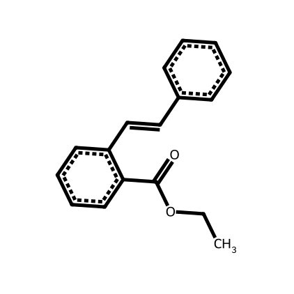 CCOC(=O)c1ccccc1/C=C/c1ccccc1